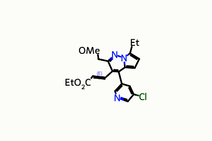 CCOC(=O)/C=C/c1c(COC)nn2c(CC)ccc2c1-c1cncc(Cl)c1